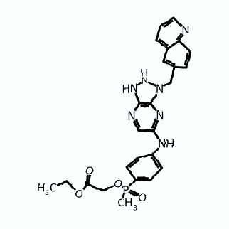 CCOC(=O)COP(C)(=O)c1ccc(Nc2cnc3c(n2)N(Cc2ccc4ncccc4c2)NN3)cc1